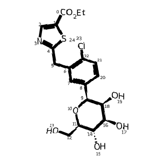 CCOC(=O)c1cnc(Cc2cc([C@@H]3O[C@H](CO)[C@@H](O)[C@H](O)[C@@H]3O)ccc2Cl)s1